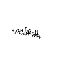 CC(C)NCCc1ccc(-c2cccc(-n3c(=O)n([C@H]4CC[C@@H](NC(=O)C5=CN6C=C(F)C=CC6N5)CC4)c(=O)c4cc(F)cnc43)c2)cc1